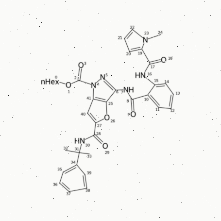 CCCCCCOC(=O)n1nc(NC(=O)c2ccccc2NC(=O)c2cccn2C)c2oc(C(=O)NC(C)(C)c3ccccc3)cc21